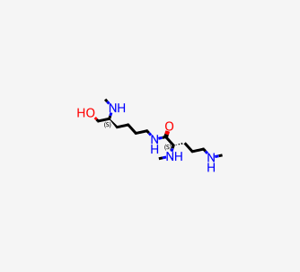 CNCCC[C@H](NC)C(=O)NCCCC[C@@H](CO)NC